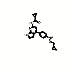 O=C(Nc1cc(-c2ccc(NSCC3CC3)cc2)c2cc[nH]c2n1)C1CC1